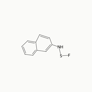 FSNc1ccc2ccccc2c1